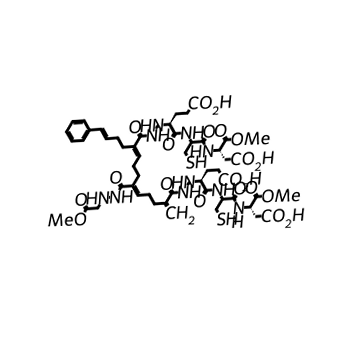 C=C(CC/C=C(\CC/C=C(\CCC=Cc1ccccc1)C(=O)NN[C@@H](CCC(=O)O)C(=O)NC(CS)C(=O)N[C@@H](CC(=O)O)C(=O)OC)C(=O)NNCC(=O)OC)C(=O)NN[C@@H](CCC(=O)O)C(=O)NC(CS)C(=O)N[C@@H](CC(=O)O)C(=O)OC